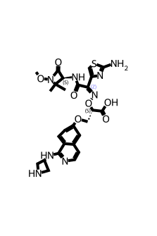 CON1C(=O)[C@@H](NC(=O)/C(=N\O[C@@H](COc2ccc3c(NC4CNC4)nccc3c2)C(=O)O)c2csc(N)n2)C1(C)C